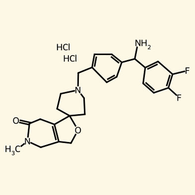 CN1CC2=C(CC1=O)C1(CCN(Cc3ccc(C(N)c4ccc(F)c(F)c4)cc3)CC1)OC2.Cl.Cl